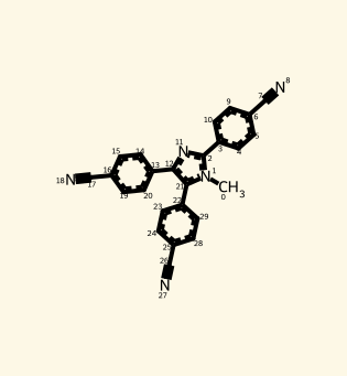 Cn1c(-c2ccc(C#N)cc2)nc(-c2ccc(C#N)cc2)c1-c1ccc(C#N)cc1